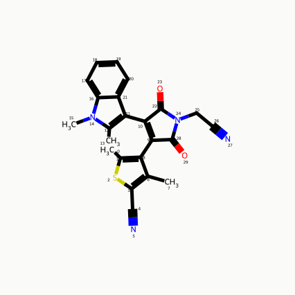 Cc1sc(C#N)c(C)c1C1=C(c2c(C)n(C)c3ccccc23)C(=O)N(CC#N)C1=O